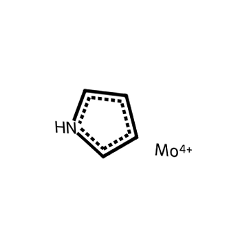 [Mo+4].c1cc[nH]c1